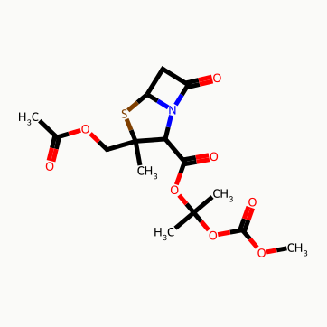 COC(=O)OC(C)(C)OC(=O)C1N2C(=O)CC2SC1(C)COC(C)=O